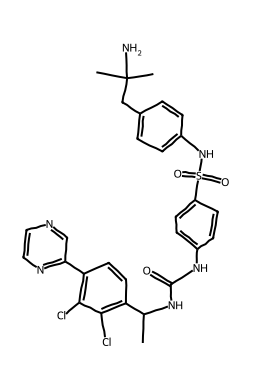 CC(NC(=O)Nc1ccc(S(=O)(=O)Nc2ccc(CC(C)(C)N)cc2)cc1)c1ccc(-c2cnccn2)c(Cl)c1Cl